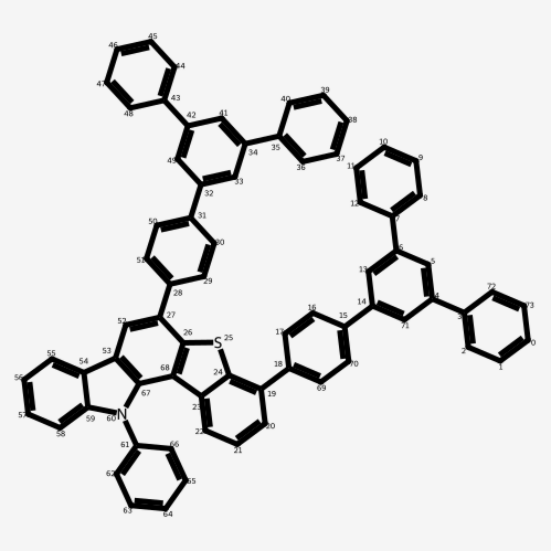 c1ccc(-c2cc(-c3ccccc3)cc(-c3ccc(-c4cccc5c4sc4c(-c6ccc(-c7cc(-c8ccccc8)cc(-c8ccccc8)c7)cc6)cc6c7ccccc7n(-c7ccccc7)c6c45)cc3)c2)cc1